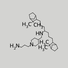 CC1(C)C2CCC(C2)C1CCCC(CCCC1C2CCC(C2)C1(C)C)NCC1CCN(CCCN)CC1